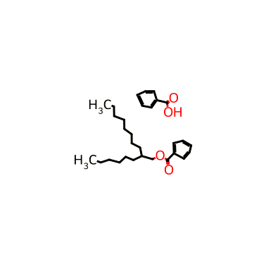 CCCCCCCCC(CCCCCC)COC(=O)c1ccccc1.O=C(O)c1ccccc1